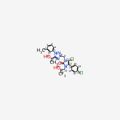 Cc1cccc(-n2nc(Cn3c(Cl)c(-c4ccc(Cl)cc4)n(CC(O)C(F)(F)F)c3=O)nc2[C@H](C)O)c1